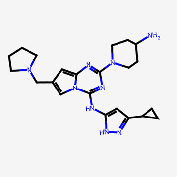 NC1CCN(c2nc(Nc3cc(C4CC4)n[nH]3)n3cc(CN4CCCC4)cc3n2)CC1